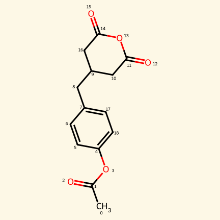 CC(=O)Oc1ccc(CC2CC(=O)OC(=O)C2)cc1